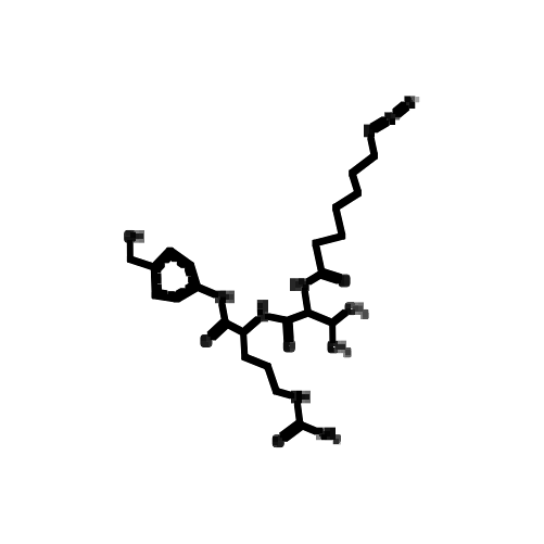 CC(C)C(NC(=O)CCCCCCN=[N+]=[N-])C(=O)NC(CCCNC(N)=O)C(=O)Nc1ccc(CO)cc1